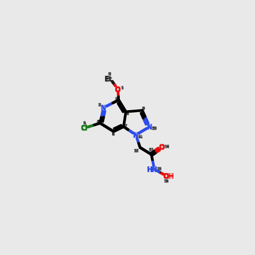 CCOc1nc(Cl)cc2c1cnn2CC(=O)NO